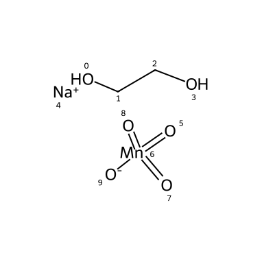 OCCO.[Na+].[O]=[Mn](=[O])(=[O])[O-]